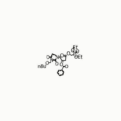 CCCCOCn1c(=O)ccn([C@@H]2O[C@H](OCP(=O)(OCC)OCC)C[C@@H]2OC(=O)c2ccccc2)c1=O